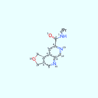 CC(C)NC(=O)c1cc2c3c(cnc2cn1)COC3